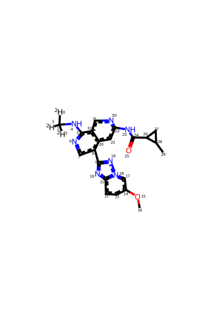 [2H]C([2H])([2H])Nc1ncc(-c2nc3ccc(OC)cn3n2)c2cc(NC(=O)C3CC3C)ncc12